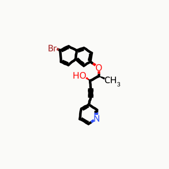 C[C@H](Oc1ccc2cc(Br)ccc2c1)[C@H](O)C#Cc1cccnc1